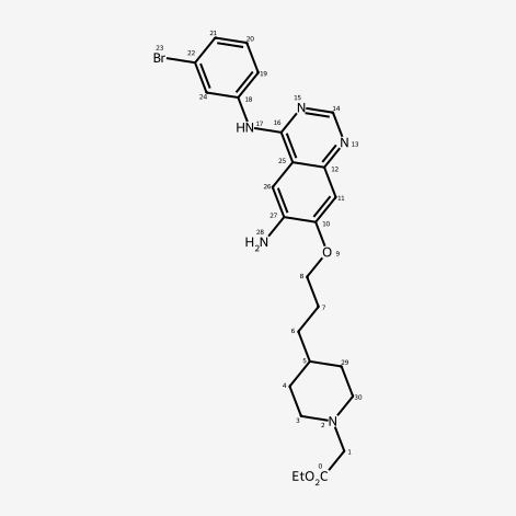 CCOC(=O)CN1CCC(CCCOc2cc3ncnc(Nc4cccc(Br)c4)c3cc2N)CC1